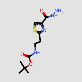 CC(C)(C)OC(=O)NCCc1nc(C(=O)NN)cs1